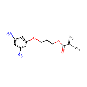 C=C(C)C(=O)OCCCOc1cc(N)cc(N)c1